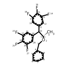 C[C@H](OCc1ccccc1)C(c1cc(F)c(F)c(F)c1)c1cc(F)c(F)c(F)c1